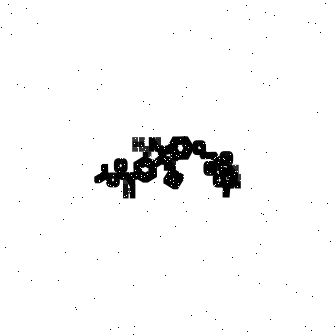 Cc1nnc(S(=O)(=O)CCOc2ccc3c(N)c(-c4ccc(NC(=O)OC(C)C)cc4)n(C4CCC4)c3c2)o1